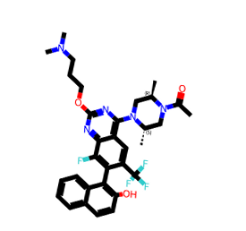 CC(=O)N1C[C@H](C)N(c2nc(OCCCN(C)C)nc3c(F)c(-c4c(O)ccc5ccccc45)c(C(F)(F)F)cc23)C[C@H]1C